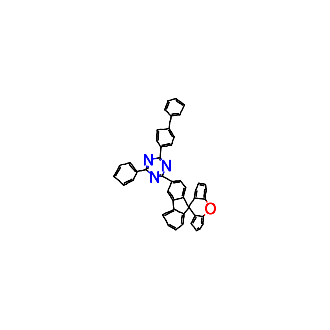 c1ccc(-c2ccc(-c3nc(-c4ccccc4)nc(-c4ccc5c(c4)-c4ccccc4C54c5ccccc5Oc5ccccc54)n3)cc2)cc1